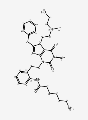 CCCn1c(=O)c2c(nc(Cc3ccccc3)n2CCN(CC)CCO)n(CCc2ccccc2NC(=O)CCCCCN)c1=O